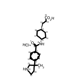 CC1(c2ccc(C(=O)N[C@H]3CC[C@H](CCC(=O)O)CC3)cc2)CCNC1.Cl